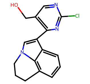 OCc1cnc(Cl)nc1-c1cn2c3c(cccc13)CCC2